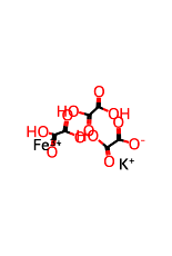 O=C(O)C(=O)O.O=C([O-])C(=O)O.O=C([O-])C(=O)O.[Fe+3].[K+]